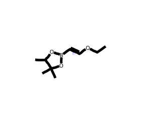 CCO/C=C/B1OC(C)C(C)(C)O1